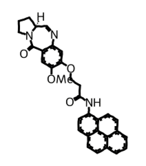 COc1cc2c(cc1OCCC(=O)Nc1ccc3ccc4cccc5ccc1c3c45)N=C[C@@H]1CCCN1C2=O